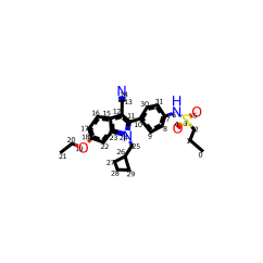 CCCS(=O)(=O)Nc1ccc(-c2c(C#N)c3ccc(OCC)cc3n2CC2CCC2)cc1